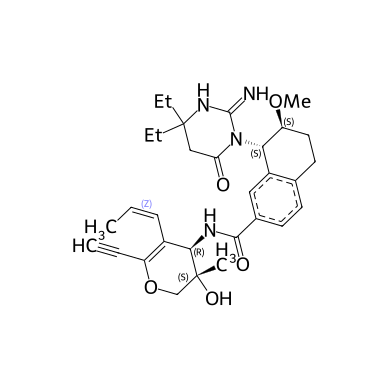 C#CC1=C(/C=C\C)[C@@H](NC(=O)c2ccc3c(c2)[C@H](N2C(=N)NC(CC)(CC)CC2=O)[C@@H](OC)CC3)[C@](C)(O)CO1